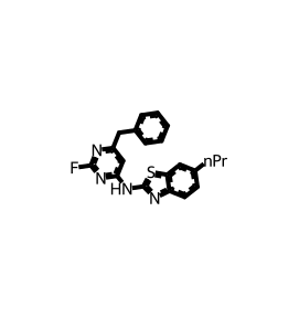 CCCc1ccc2nc(Nc3cc(Cc4ccccc4)nc(F)n3)sc2c1